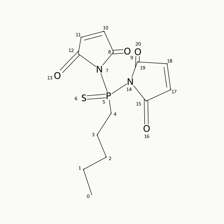 CCCCCP(=S)(N1C(=O)C=CC1=O)N1C(=O)C=CC1=O